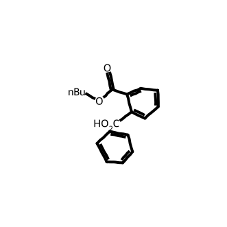 CCCCOC(=O)c1ccccc1C(=O)O.c1ccccc1